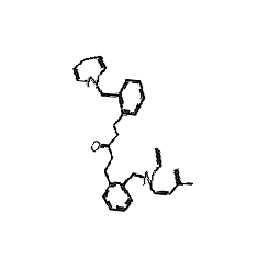 C=CN(/C=C\C(=C)C)Cc1ccccc1CCC(=O)CCc1ccccc1CN1C=CCC=C1